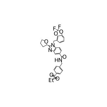 CCS(=O)(=O)c1ccc(CNC(=O)c2ccc3c(c2)nc([C@H]2CCCO2)n3Cc2cccc3c2OC(F)(F)O3)cc1